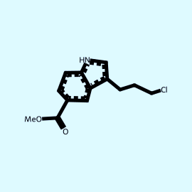 COC(=O)c1ccc2[nH]cc(CCCCl)c2c1